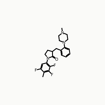 Cc1c(F)cc(N2CCC(Cc3ccccc3N3CCN(C)CC3)C2=O)c(F)c1F